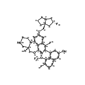 Oc1cc(-c2nc3c4c(nc(OC[C@@]56CCCN5C[C@H](F)C6)nc4c2F)N2CCNC[C@H]2CO3)c2c(OC(F)(F)F)c(F)ccc2c1